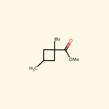 CCC(C)C1(C(=O)OC)CC(C)C1